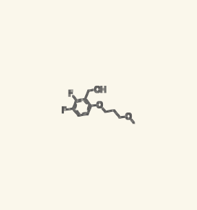 COCCCOc1ccc(F)c(F)c1CO